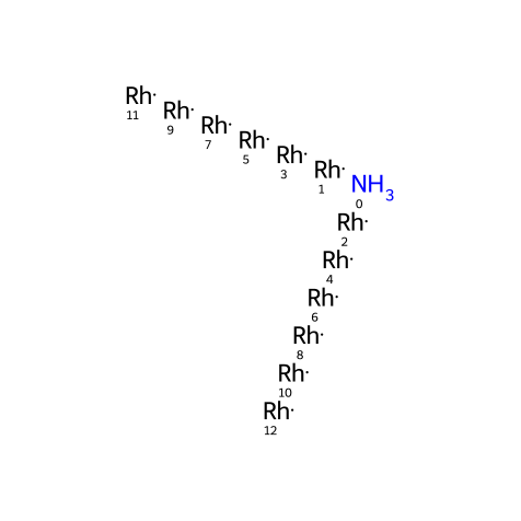 N.[Rh].[Rh].[Rh].[Rh].[Rh].[Rh].[Rh].[Rh].[Rh].[Rh].[Rh].[Rh]